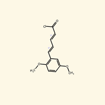 COc1ccc(OC)c(/C=C/C=C/C(=O)Cl)c1